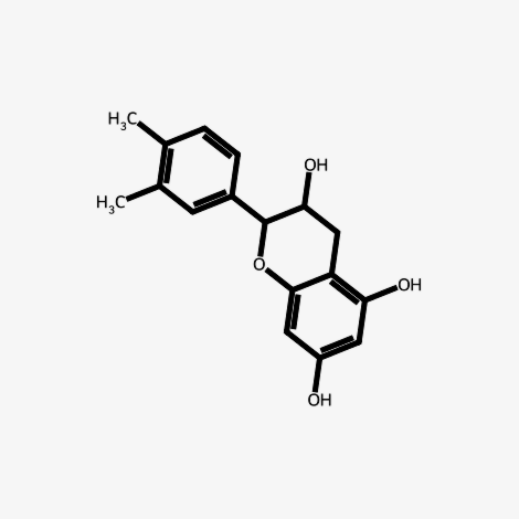 Cc1ccc(C2Oc3cc(O)cc(O)c3CC2O)cc1C